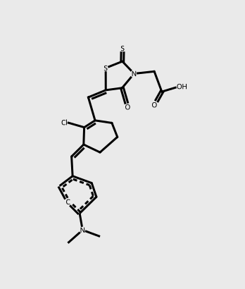 CN(C)c1ccc(/C=C2\CCCC(/C=C3/SC(=S)N(CC(=O)O)C3=O)=C2Cl)cc1